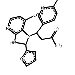 NC(=O)CC(c1ccc(Cl)nc1)N1c2c(C(=O)O)ccnc2NC1c1ccco1